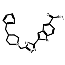 NC(=O)c1ccc2[nH]c(-c3nnc(CN4CCC(Cc5ccccc5)CC4)[nH]3)cc2c1